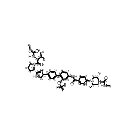 CNC(=O)N1C[C@@H](C)N(c2ccc(C(=O)Nc3ccc(-c4ccc(C5CNC([C@@H]6CCCN6C(=O)[C@@H](NC(=O)OC)C(C)C)=N5)cc4)c(OC(F)(F)F)c3)cn2)C[C@@H]1C